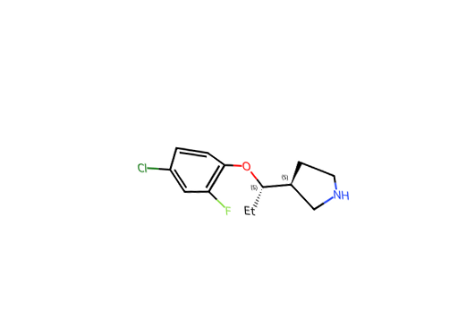 CC[C@H](Oc1ccc(Cl)cc1F)[C@H]1CCNC1